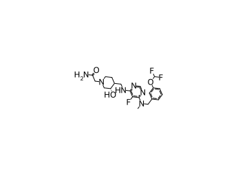 CN(Cc1cccc(OC(F)F)c1)c1ncnc(NCC2CCN(CC(N)=O)C[C@H]2O)c1F